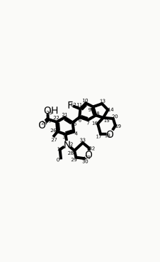 CCN(c1cc(-c2cc3c(cc2F)CCC32CCOCC2)cc(C(=O)O)c1C)C1CCOCC1